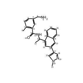 Cc1ccc(CN)cc1C(=O)NC(C)c1cc(-c2cnn(C)c2)cc2ccccc12